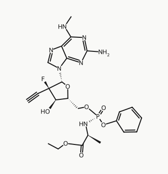 C#C[C@@]1(F)[C@H](O)[C@@H](CO[P@](=O)(N[C@@H](C)C(=O)OCC)Oc2ccccc2)O[C@H]1n1cnc2c(NC)nc(N)nc21